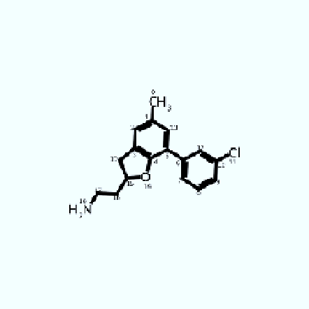 Cc1cc2c(c(-c3cccc(Cl)c3)c1)OC(CCN)C2